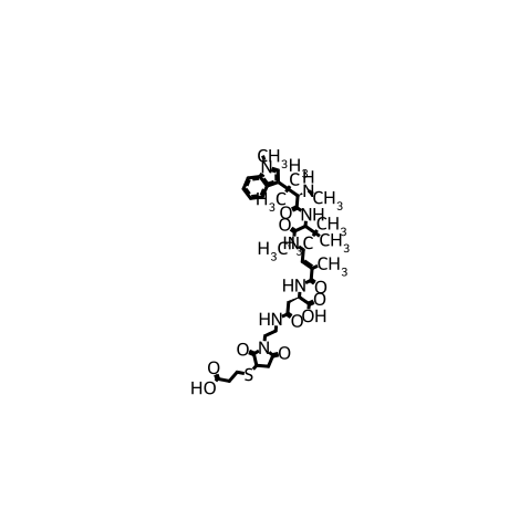 CN[C@H](C(=O)NC(C(=O)N(C)C/C=C(\C)C(=O)N[C@H](CC(=O)NCCN1C(=O)CC(SCCC(=O)O)C1=O)C(=O)O)C(C)(C)C)C(C)(C)c1cn(C)c2ccccc12